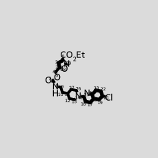 CCOC(=O)c1cc(COC(=O)NCCC2CCN(c3ccc4cc(Cl)ccc4n3)CC2)on1